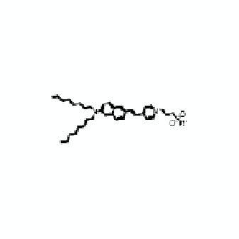 CCCCCCCCN(CCCCCCCC)c1ccc2cc(C=Cc3cc[n+](CCCS(=O)(=O)[O-])cc3)ccc2c1